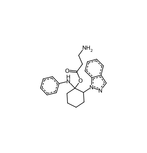 NCCC(=O)OC1(Nc2ccccc2)CCCCC1n1ncc2ccccc21